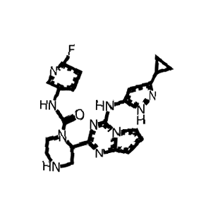 O=C(Nc1ccc(F)nc1)N1CCNCC1c1nc(Nc2cc(C3CC3)n[nH]2)n2cccc2n1